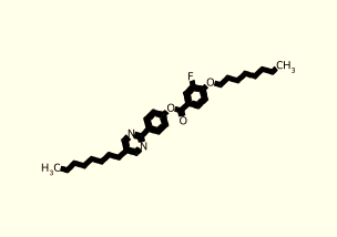 CCCCCCCCOc1ccc(C(=O)Oc2ccc(-c3ncc(CCCCCCCC)cn3)cc2)cc1F